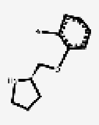 Brc1ccccc1OC[C@H]1CCCN1